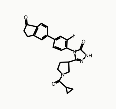 O=C1CCc2cc(-c3ccc(-n4c(C5CCN(C(=O)C6CC6)C5)n[nH]c4=O)c(F)c3)ccc21